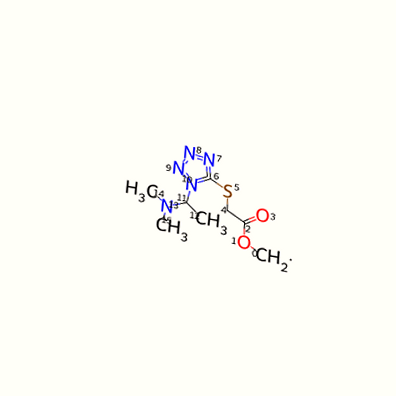 [CH2]OC(=O)CSc1nnnn1C(C)N(C)C